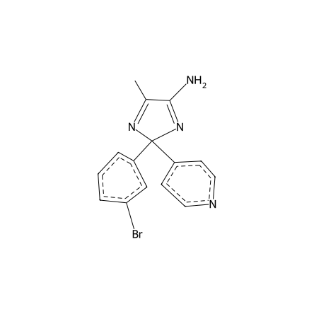 CC1=NC(c2ccncc2)(c2cccc(Br)c2)N=C1N